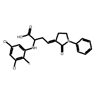 O=C(O)C(CC=C1CCN(c2ccccc2)C1=O)Nc1cc(Cl)cc(Cl)c1I